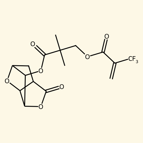 C=C(C(=O)OCC(C)(C)C(=O)OC1C2CC3C(=O)OC1C3O2)C(F)(F)F